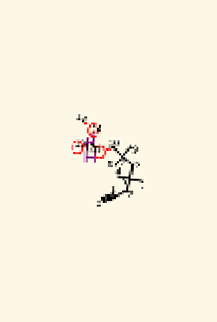 C#CCC(C)(C)CC(C)(C)CO[PH](=O)OC